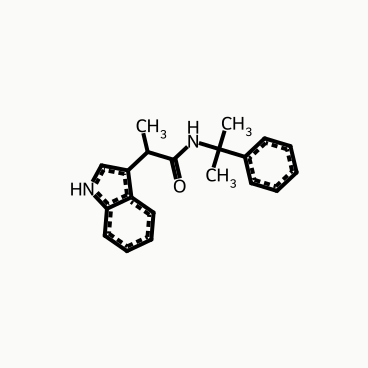 CC(C(=O)NC(C)(C)c1ccccc1)c1c[nH]c2ccccc12